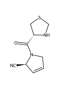 N#C[C@@H]1C=CCN1C(=O)[C@@H]1CSCN1